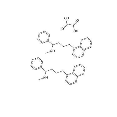 CNC(CCCc1cccc2ccccc12)c1ccccc1.CNC(CCCc1cccc2ccccc12)c1ccccc1.O=C(O)C(=O)O